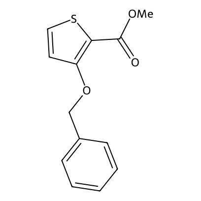 COC(=O)c1sccc1OCc1ccccc1